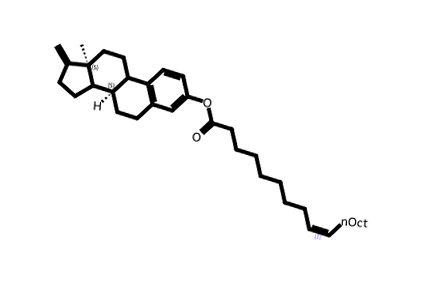 C=C1CCC2[C@@H]3CCc4cc(OC(=O)CCCCCCC/C=C\CCCCCCCC)ccc4C3CC[C@]12C